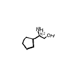 N[C@@H](CO)C1CCCC1